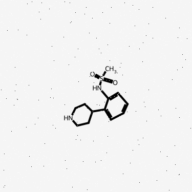 CS(=O)(=O)Nc1ccccc1C1CCNCC1